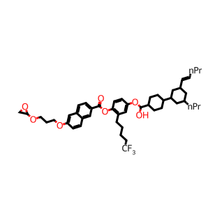 CCC/C=C/C1CC(CCC)CC(C2CCC(C(O)Oc3ccc(OC(=O)c4ccc5cc(OCCCOC6CO6)ccc5c4)c(CCCCC(F)(F)F)c3)CC2)C1